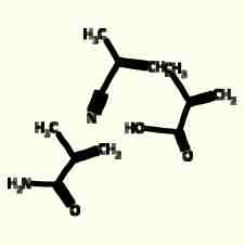 C=C(C)C#N.C=C(C)C(=O)O.C=C(C)C(N)=O